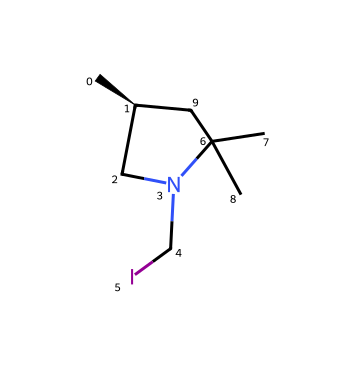 C[C@@H]1CN(CI)C(C)(C)C1